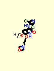 COc1ccc2c(Nc3c(Cl)cncc3Cl)cc(=O)[nH]c2c1OCCCCN1CCOCC1